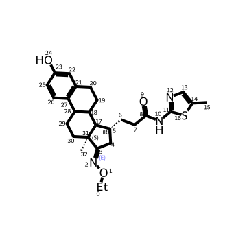 CCO/N=C1\C[C@@H](CCC(=O)Nc2ncc(C)s2)C2C3CCc4cc(O)ccc4C3CC[C@]12C